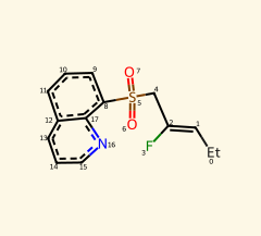 CC/C=C(\F)CS(=O)(=O)c1cccc2cccnc12